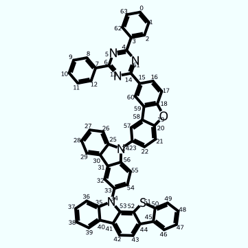 c1ccc(-c2nc(-c3ccccc3)nc(-c3ccc4oc5ccc(-n6c7ccccc7c7cc(-n8c9ccccc9c9ccc%10c%11ccccc%11sc%10c98)ccc76)cc5c4c3)n2)cc1